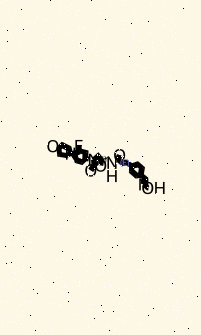 O=C1C=CN(c2ccc(N3C[C@H](CNC(=O)/C=C/c4ccc(C=NO)cc4)OC3=O)cc2F)CC1